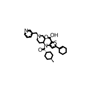 C[C@H]1CC[C@H](C(=O)N(c2cc(C3=CCCCC3)sc2C(=O)O)C2CCN(Cc3cccnc3)CC2)CC1